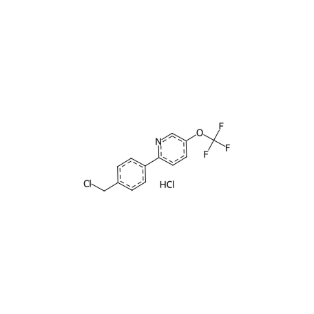 Cl.FC(F)(F)Oc1ccc(-c2ccc(CCl)cc2)nc1